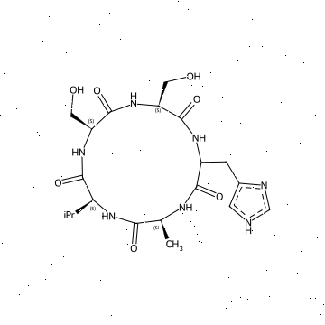 CC(C)[C@@H]1NC(=O)[C@H](C)NC(=O)C(Cc2c[nH]cn2)NC(=O)[C@H](CO)NC(=O)[C@H](CO)NC1=O